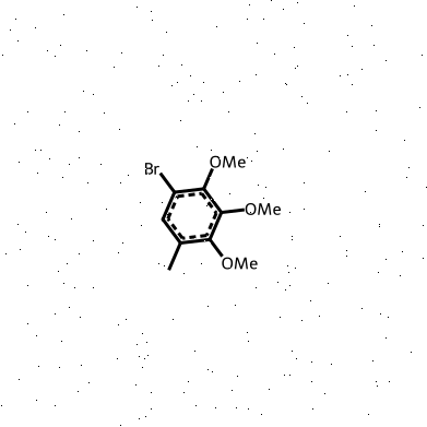 COc1c(C)cc(Br)c(OC)c1OC